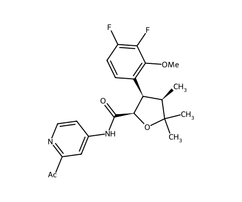 COc1c([C@H]2[C@@H](C)C(C)(C)O[C@H]2C(=O)Nc2ccnc(C(C)=O)c2)ccc(F)c1F